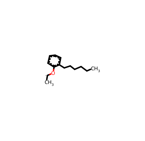 C[CH]Oc1ccccc1CCCCCC